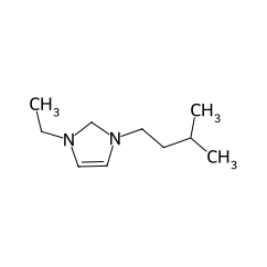 CCN1C=CN(CCC(C)C)C1